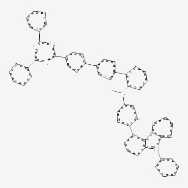 CN(c1ccc(-c2cccc3c2c2ccccc2n3-c2ccccc2)cc1)c1ccccc1-c1ccc(-c2ccc(-c3nc(-c4ccccc4)nc(-c4ccccc4)n3)cc2)cc1